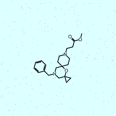 COC(=O)CCN1CCC2(CC1)CN(Cc1ccccc1)CC1(CC1)O2